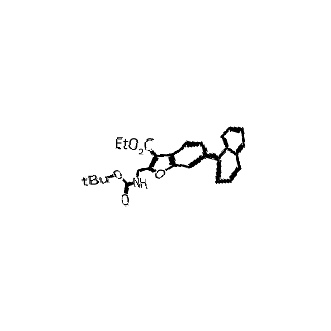 CCOC(=O)c1c(CNC(=O)OC(C)(C)C)oc2cc(-c3cccc4ccccc34)ccc12